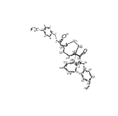 O=C(CCc1ccc(C(F)(F)F)cc1)N1CCC(C(=O)NCc2ccc(F)cc2)(c2ccccc2)CC1